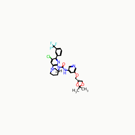 CC1(C)OC[C@H](COc2cncc(NC(=O)N3c4nc(-c5cccc(C(F)(F)F)c5)c(Cl)cc4N4CCC[C@H]3C4)c2)O1